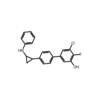 Oc1cc(-c2ccc(C3CC3Nc3ccccc3)cc2)cc(Cl)c1F